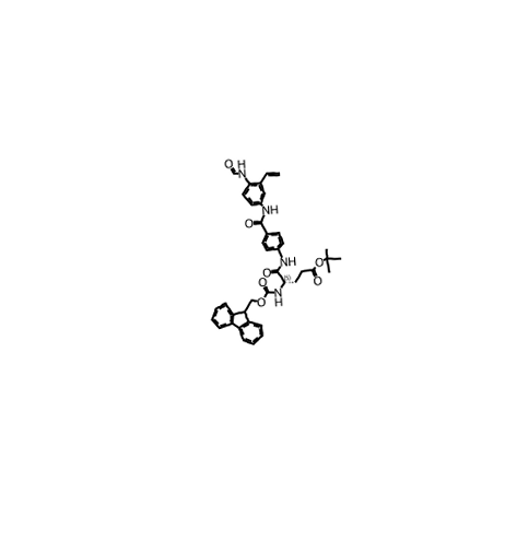 C=Cc1cc(NC(=O)c2ccc(NC(=O)[C@H](CCC(=O)OC(C)(C)C)NC(=O)OCC3c4ccccc4-c4ccccc43)cc2)ccc1NC=O